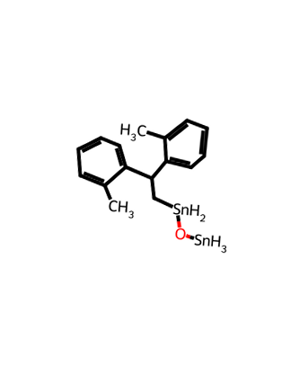 Cc1ccccc1C([CH2][SnH2][O][SnH3])c1ccccc1C